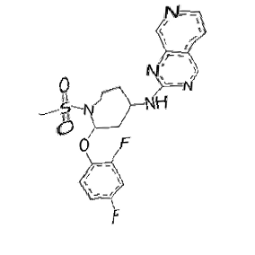 CS(=O)(=O)N1CCC(Nc2ncc3ccncc3n2)CC1Oc1ccc(F)cc1F